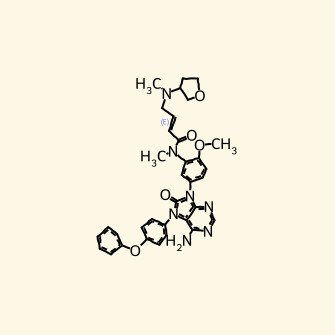 COc1ccc(-n2c(=O)n(-c3ccc(Oc4ccccc4)cc3)c3c(N)ncnc32)cc1N(C)C(=O)/C=C/CN(C)C1CCOC1